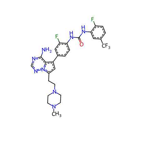 CN1CCN(CCc2cc(-c3ccc(NC(=O)Nc4cc(C(F)(F)F)ccc4F)c(F)c3)c3c(N)ncnn23)CC1